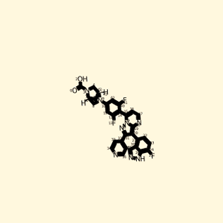 O=C(O)N1C[C@@H]2C[C@H]1CN2c1cc(F)c(-c2ccnc3c(-c4ccc(F)c5[nH]ncc45)c(-c4ccncc4)nn23)c(F)c1